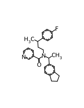 CC(CCN(C(=O)c1cccnc1)C(C)c1ccc2c(c1)CCC2)c1ccc(F)cc1